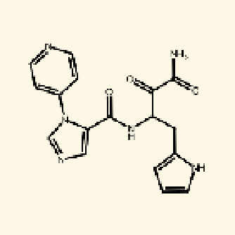 NC(=O)C(=O)C(Cc1ccc[nH]1)NC(=O)c1cncn1-c1ccncc1